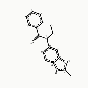 CCN(C(=O)c1ccccc1)c1ccc2nc(C)oc2c1